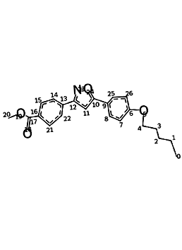 CCCCCOc1ccc(-c2cc(-c3ccc(C(=O)OC)cc3)no2)cc1